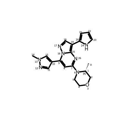 C[C@@H]1COCCN1c1cc(-c2cnn(C)c2)n2ncc(-c3ccc[nH]3)c2n1